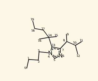 CCCCn1cnc(C(C)C(C)C)c1C(C)(C)CCC